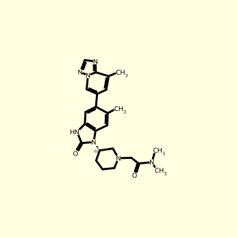 Cc1cc2c(cc1-c1cc(C)c3ncnn3c1)[nH]c(=O)n2[C@H]1CCCN(CC(=O)N(C)C)C1